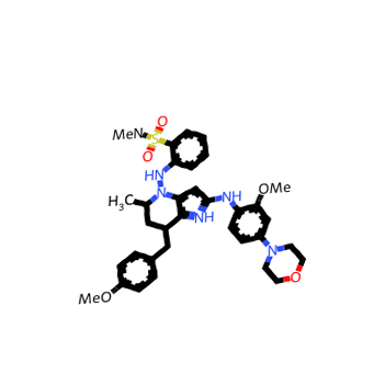 CNS(=O)(=O)c1ccccc1NN1c2cc(Nc3ccc(N4CCOCC4)cc3OC)[nH]c2C(Cc2ccc(OC)cc2)CC1C